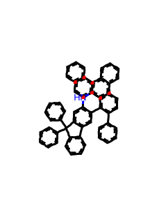 c1ccc(-c2cccc(-c3ccccc3)c2-c2cc3c(cc2Nc2ccc4ccccc4c2-c2ccccc2)C(c2ccccc2)(c2ccccc2)c2ccccc2-3)cc1